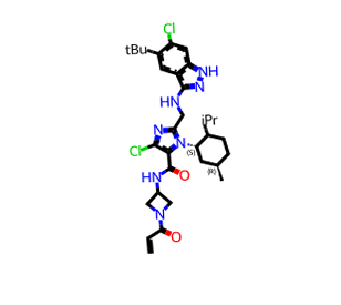 C=CC(=O)N1CC(NC(=O)c2c(Cl)nc(CNc3n[nH]c4cc(Cl)c(C(C)(C)C)cc34)n2[C@H]2C[C@H](C)CCC2C(C)C)C1